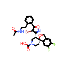 CC(=O)NCCc1ccccc1-c1onc([C@H]2CN(C(=O)O)CC[C@@]23OCc2cc(F)c(F)cc23)c1Br